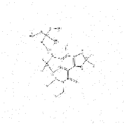 CCN(CC)C(=O)c1c2c(c(C)c3c1OC(C)(C)O3)OC(C)(C)O2.NC(CO)(CO)CO